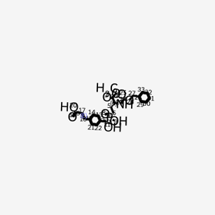 COC(=O)[C@H](CCP(=O)(O)C(O)c1ccc(/C=C/C(=O)O)cc1)NC(=O)OCc1ccccc1